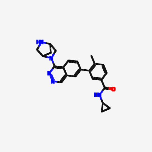 Cc1ccc(C(=O)NC2CC2)cc1-c1ccc2c(N3CC4CC3CN4)nncc2c1